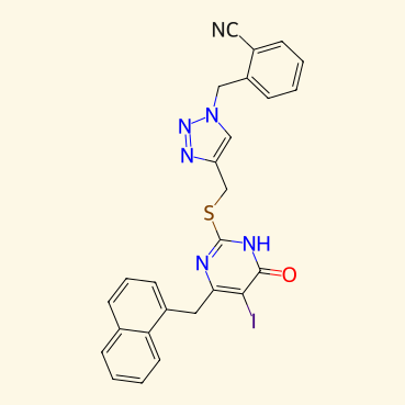 N#Cc1ccccc1Cn1cc(CSc2nc(Cc3cccc4ccccc34)c(I)c(=O)[nH]2)nn1